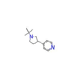 CC(C)(C)N1CCC(c2ccncc2)C1